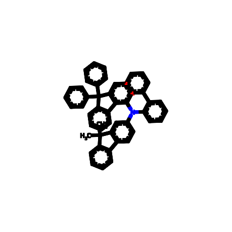 CC1(C)c2ccccc2-c2ccc(N(c3ccccc3-c3ccccc3)c3cccc4c3-c3ccccc3C4(c3ccccc3)c3ccccc3)cc21